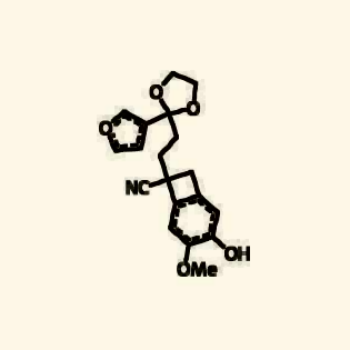 COc1cc2c(cc1O)CC2(C#N)CCC1(c2ccoc2)OCCO1